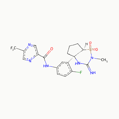 CN1C(=N)N[C@@]2(c3cc(NC(=O)c4cnc(C(F)(F)F)cn4)ccc3F)CCC[C@H]2S1(=O)=O